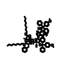 C#C[C@]1(COP(=O)(N[C@@H](Cc2ccccc2)C(=O)OCCCCCCCC)O[C@@H](C)C(=O)OCCCCCCCC)O[C@@H](n2cnc3c(NC(c4ccccc4)(c4ccccc4)c4ccc(OC)cc4)nc(F)nc32)C[C@@H]1OC(c1ccccc1)(c1ccccc1)c1ccc(OC)cc1